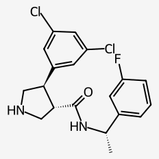 C[C@H](NC(=O)[C@@H]1CNC[C@H]1c1cc(Cl)cc(Cl)c1)c1cccc(F)c1